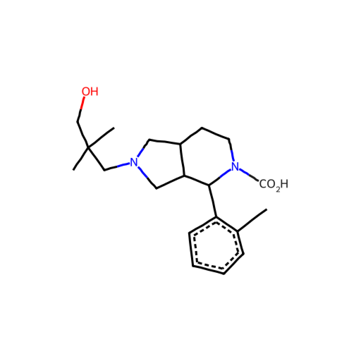 Cc1ccccc1C1C2CN(CC(C)(C)CO)CC2CCN1C(=O)O